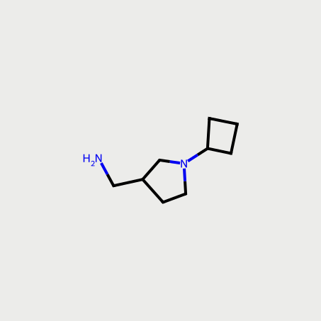 NCC1CCN(C2CCC2)C1